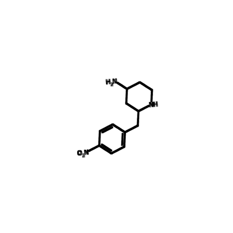 NC1CCNC(Cc2ccc([N+](=O)[O-])cc2)C1